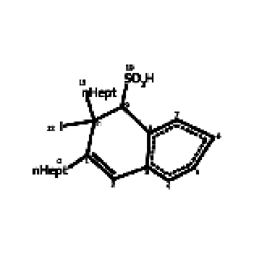 CCCCCCCC1=Cc2ccccc2C(S(=O)(=O)O)C1(I)CCCCCCC